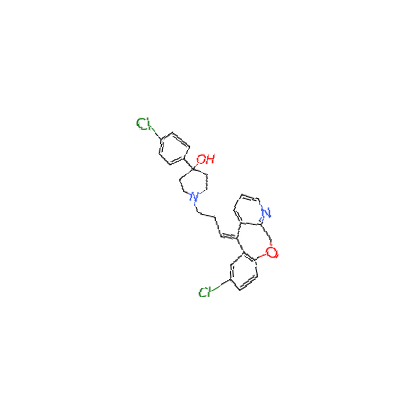 OC1(c2ccc(Cl)cc2)CCN(CCC=C2c3cc(Cl)ccc3OCc3ncccc32)CC1